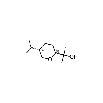 CC(C)[C@@H]1CC[C@@H](C(C)(C)O)OC1